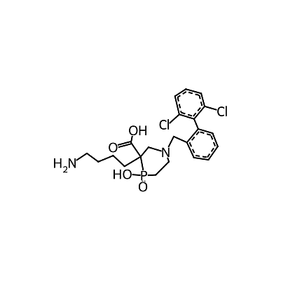 NCCCCC1(C(=O)O)CN(Cc2ccccc2-c2c(Cl)cccc2Cl)CCP1(=O)O